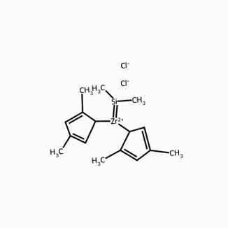 CC1=C[CH]([Zr+2]([CH]2C=C(C)C=C2C)=[Si](C)C)C(C)=C1.[Cl-].[Cl-]